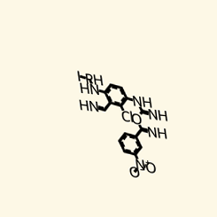 N=Cc1c(NPI)ccc(NC(=N)OC(=N)c2cccc([N+](=O)[O-])c2)c1Cl